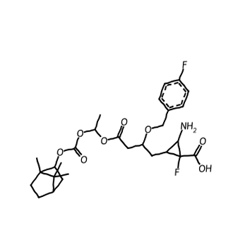 CC(OC(=O)CC(CC1C(N)C1(F)C(=O)O)OCc1ccc(F)cc1)OC(=O)OC1CC2CCC1(C)C2(C)C